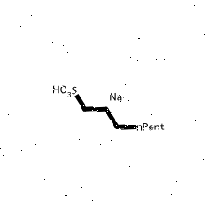 CCCCCCCCS(=O)(=O)O.[Na]